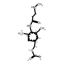 CNCCC(=O)Nc1c(C)cc(COC(=O)Br)cc1C